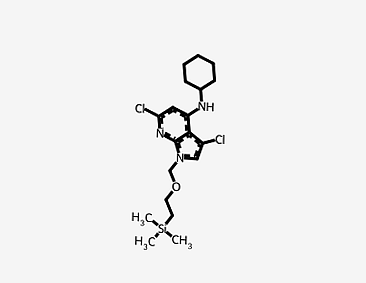 C[Si](C)(C)CCOCn1cc(Cl)c2c(NC3CCCCC3)cc(Cl)nc21